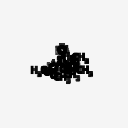 COc1ccc(C(SCc2ccccc2)C(=O)Nc2c(SC)cc(C)nc2SC)cc1OC